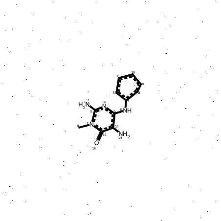 Cn1c(N)nc(Nc2ccccc2)c(N)c1=O